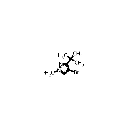 [CH2]n1cc(Br)c(C(C)(C)C)n1